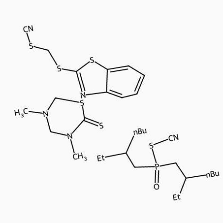 CCCCC(CC)CP(=O)(CC(CC)CCCC)SC#N.CN1CSC(=S)N(C)C1.N#CSCSc1nc2ccccc2s1